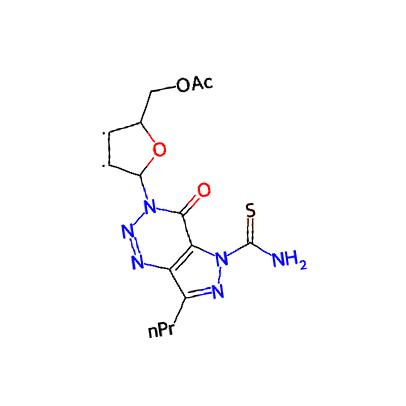 CCCc1nn(C(N)=S)c2c(=O)n(C3[CH][CH]C(COC(C)=O)O3)nnc12